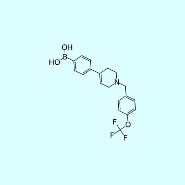 OB(O)c1ccc(C2=CCN(Cc3ccc(OC(F)(F)F)cc3)CC2)cc1